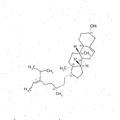 C/C=C(\CC[C@@H](C)CC[C@H]1CC[C@H]2[C@@H]3CC=C4C[C@@H](O)CC[C@]4(C)[C@H]3CC[C@]12C)C(C)C